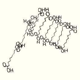 C=CC.O=C(O)CCCCCCCCC(=O)O.O=C(O)CCCCCCCCC(=O)O.O=C(O)CCCCCCCCC(=O)O.O=C(O)CCCCCCCCC(=O)O.O=C(O)CCCCCCCCC(=O)O.O=C(O)CCCCCCCCC(=O)O.O=C(O)CCCCCCCCC(=O)O.O=C(O)CCCCCCCCC(=O)O